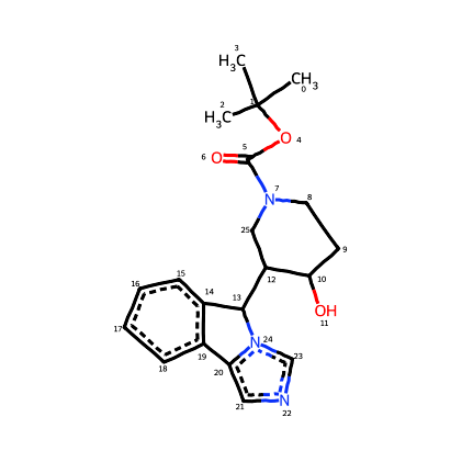 CC(C)(C)OC(=O)N1CCC(O)C(C2c3ccccc3-c3cncn32)C1